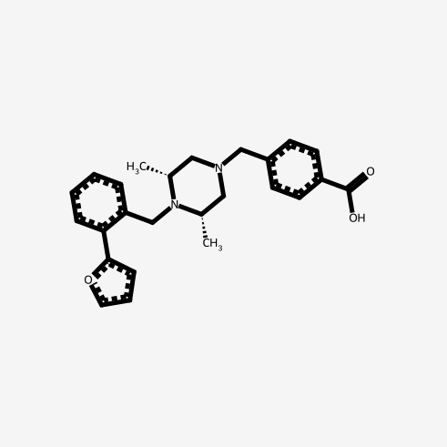 C[C@@H]1CN(Cc2ccc(C(=O)O)cc2)C[C@H](C)N1Cc1ccccc1-c1ccco1